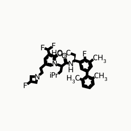 Cc1cc(-c2c(C)cccc2C)cc([C@H](CC(=O)O)NC(=O)C(CC(C)C)n2cc(CCN3CC(F)C3)cc(C(F)F)c2=O)c1F